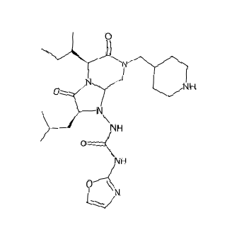 CCC(C)[C@H]1C(=O)N(CC2CCNCC2)CC2N(NC(=O)Nc3ncco3)[C@@H](CC(C)C)C(=O)N21